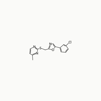 Cc1ccnc(SCc2ncc(-c3cccc(Cl)c3)o2)n1